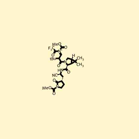 COC(=O)N1CC[C@@H](C[C@@H](C#N)NC(=O)[C@@H]2C3[C@H](CN2C(=O)C(/C=[N+](/C(=O)OC)C(=O)C(F)(F)F)C(C)(C)C)C3(C)C)C1=O